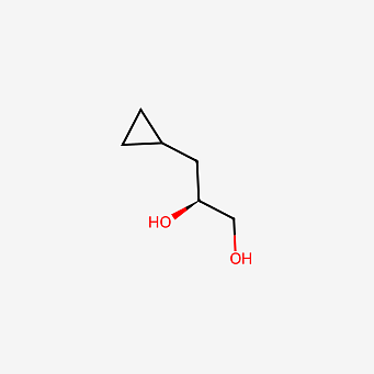 OC[C@@H](O)CC1CC1